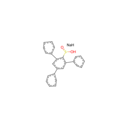 O=S(O)c1c(-c2ccccc2)cc(-c2ccccc2)cc1-c1ccccc1.[NaH]